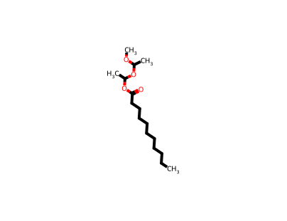 CCCCCCCCCCC(=O)OC(C)OC(C)OC